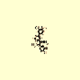 NC(c1ccc(Cl)c(F)c1)C(N)c1cc(-c2ccc(C(F)(F)F)c(Cl)c2)ncn1